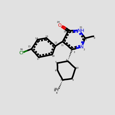 Cc1nc([C@H]2CC[C@@H](C(C)C)CC2)c(-c2ccc(Cl)cc2)c(=O)[nH]1